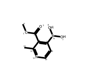 COC(=O)c1c(B(O)O)ccnc1C